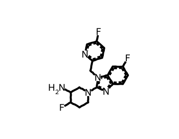 NC1CN(c2nc3ccc(F)cc3n2Cc2ccc(F)cn2)CCC1F